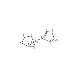 [C]1=C(C2CC3CCC2C3)C=CC1